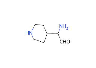 NC(C=O)C1CCNCC1